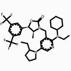 CCC1CCCN1c1cnc(N(CC)C2CCCCC2)c(CN2C(=O)O[C@H](c3cc(C(F)(F)F)cc(C(F)(F)F)c3)[C@@H]2C)c1